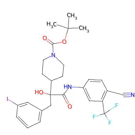 CC(C)(C)OC(=O)N1CCC(C(O)(Cc2cccc(I)c2)C(=O)Nc2ccc(C#N)c(C(F)(F)F)c2)CC1